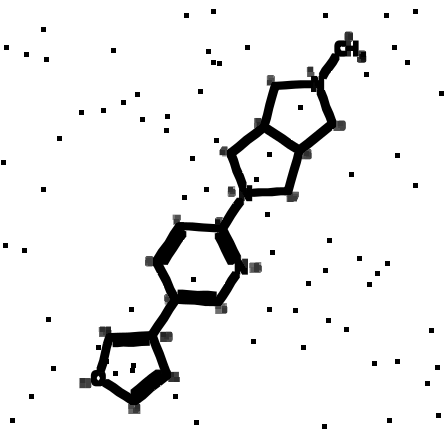 CN1CC2CN(c3ccc(-c4ccoc4)cn3)CC2C1